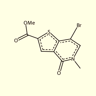 COC(=O)c1cc2c(=O)n(C)cc(Br)c2s1